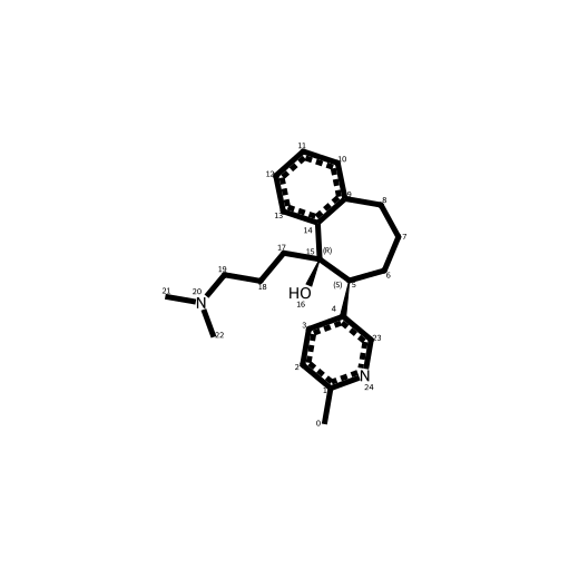 Cc1ccc([C@@H]2CCCc3ccccc3[C@@]2(O)CCCN(C)C)cn1